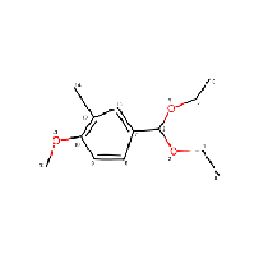 CCOC(OCC)c1ccc(OC)c(C)c1